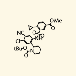 COC(=O)c1ccc(C2CC2)c(S(=O)(=O)Nc2cc(C#N)c(Cl)cc2C2=CCCCN2C(=O)OC(C)(C)C)c1